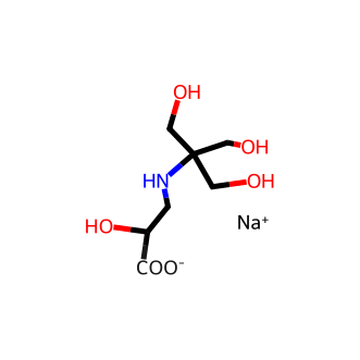 O=C([O-])C(O)CNC(CO)(CO)CO.[Na+]